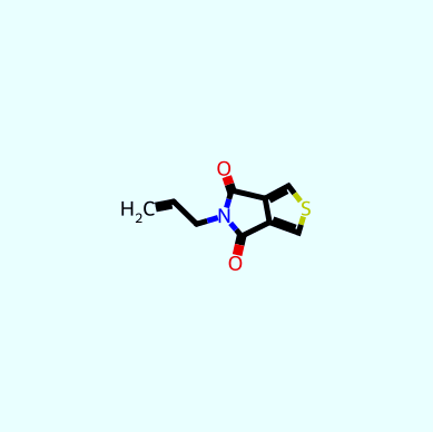 C=CCN1C(=O)c2cscc2C1=O